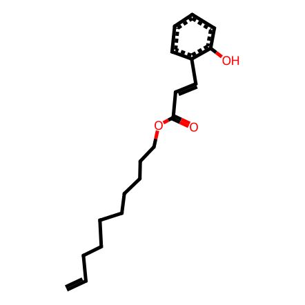 C=CCCCCCCCCOC(=O)/C=C/c1ccccc1O